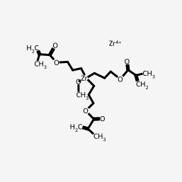 C=C(C)C(=O)OCC[CH2][Zr]([CH2]CCOC(=O)C(=C)C)([CH2]CCOC(=O)C(=C)C)[O]C.[Zr+4]